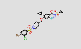 O=C(NS(=O)(=O)C1CC1)c1cc(C2CC2)c(OCC2CCN(S(=O)(=O)c3ccc(Br)c(Cl)c3)CC2)cc1F